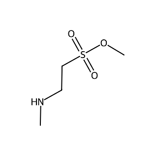 CNCCS(=O)(=O)OC